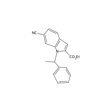 CCOC(=O)c1cc2ccc(C#N)cc2n1C(C)c1ccccc1